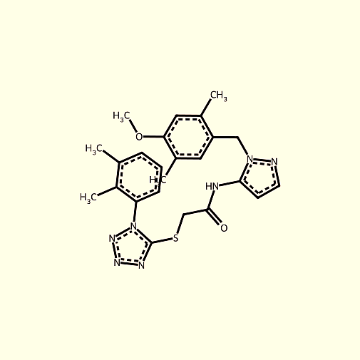 COc1cc(C)c(Cn2nccc2NC(=O)CSc2nnnn2-c2cccc(C)c2C)cc1C